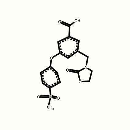 CS(=O)(=O)c1ccc(Oc2cc(CN3CCOC3=O)cc(C(=O)O)c2)cc1